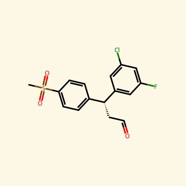 CS(=O)(=O)c1ccc([C@@H](CC=O)c2cc(F)cc(Cl)c2)cc1